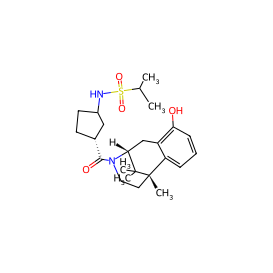 CC(C)S(=O)(=O)NC1CC[C@@H](C(=O)N2CC[C@@]3(C)c4cccc(O)c4C[C@@H]2C3(C)C)C1